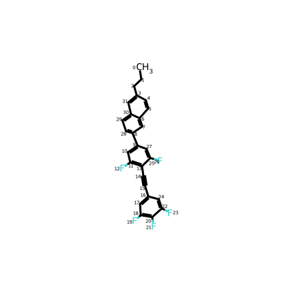 CCCc1ccc2cc(-c3cc(F)c(C#Cc4cc(F)c(F)c(F)c4)c(F)c3)ccc2c1